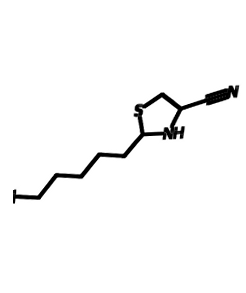 N#CC1CSC(CCCCCCl)N1